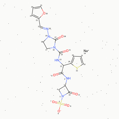 O=C(NC1CN(S(=O)(=O)[O-])C1=O)C(NC(=O)N1CCN(N=Cc2ccco2)C1=O)c1cccs1.[Na+]